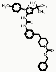 Cc1ccc(-n2nc(C(C)(C)C)cc2NC(=O)Nc2cccc(CC3CCN(C(=O)OCc4ccccc4)CC3)c2)cc1